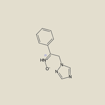 [O-]/[NH+]=C(\Cn1cncn1)c1ccccc1